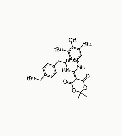 CCCCCCC(Cc1ccc(CC(C)(C)C)cc1)NC(Nc1cc(C(C)(C)C)c(O)c(C(C)(C)C)c1)=C1C(=O)OC(C)(C)OC1=O